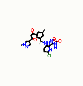 Cc1cc([C@@H](C)Nc2ccc(Cl)nc2-c2noc(=O)[nH]2)c2oc(-c3cnn(C)c3)cc(=O)c2c1